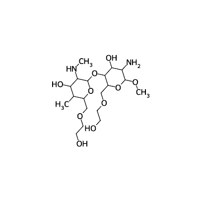 CNC1C(OC2C(COCCO)OC(OC)C(N)C2O)OC(COCCO)C(C)C1O